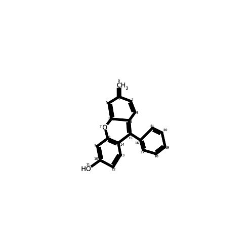 C=c1ccc2c(c1)Oc1cc(O)ccc1C=2c1ccccc1